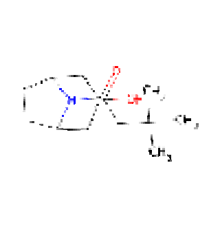 CC(C)(C)CC(=O)N1C2CCC1CC(O)C2